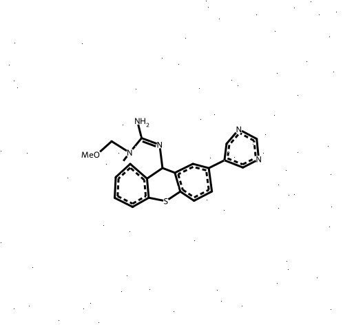 COCN(C)/C(N)=N\C1c2ccccc2Sc2ccc(-c3cncnc3)cc21